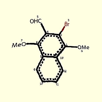 COc1c(Br)c(C=O)c(OC)c2ccccc12